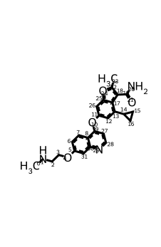 CNCCOc1ccc2c(Oc3cc(C4CC4)c4c(C(N)=O)c(C)oc4c3)ccnc2c1